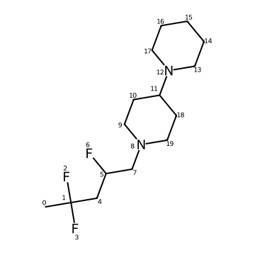 CC(F)(F)CC(F)CN1CCC(N2CCCCC2)CC1